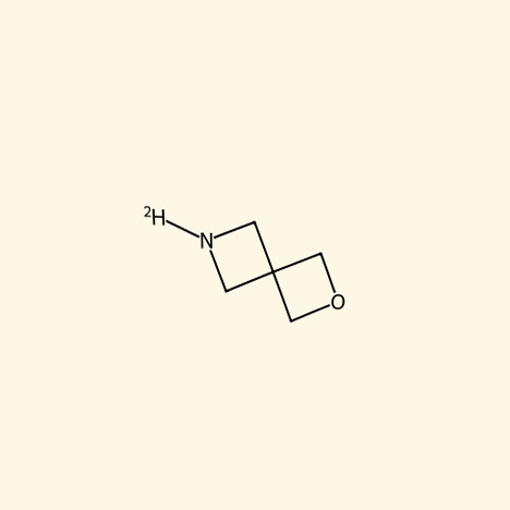 [2H]N1CC2(COC2)C1